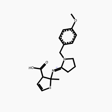 COc1ccc(CN2CCC/C2=N\C2(C)SC=CC2C(=O)O)cc1